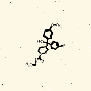 CCOC(=O)N1CCC(C(O)(c2ccc(F)cc2)c2ccc(OC)cc2)CC1